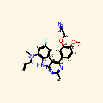 C=CCN(C)c1cc(F)cc2c1[nH]c1nc(C)nc(-c3ccc(OC)c(OCC#N)c3)c12